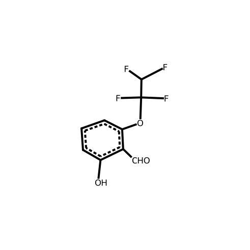 O=Cc1c(O)cccc1OC(F)(F)C(F)F